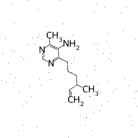 C=CC(C)CCCc1ncnc(C)c1N